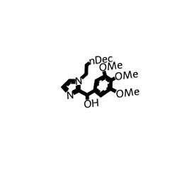 CCCCCCCCCCCCn1ccnc1C(O)c1cc(OC)c(OC)c(OC)c1